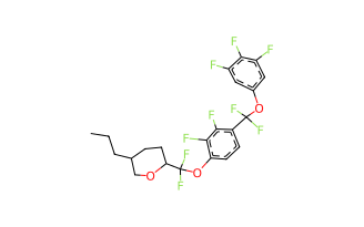 CCCC1CCC(C(F)(F)Oc2ccc(C(F)(F)Oc3cc(F)c(F)c(F)c3)c(F)c2F)OC1